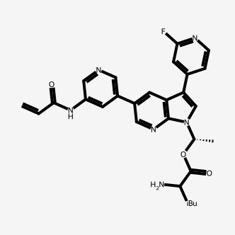 C=CC(=O)Nc1cncc(-c2cnc3c(c2)c(-c2ccnc(F)c2)cn3[C@H](C)OC(=O)C(N)C(C)CC)c1